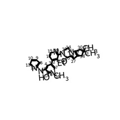 CCc1c(-c2cc(Nc3ccccn3)c(=O)n(C)c2)ccnc1N1CCn2c(cc3c2CC(C)(C)C3)C1=O